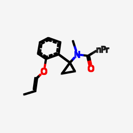 CC=COc1ccccc1C1(N(C)C(=O)CCC)CC1